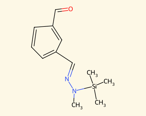 CN(N=Cc1cccc(C=O)c1)[Si](C)(C)C